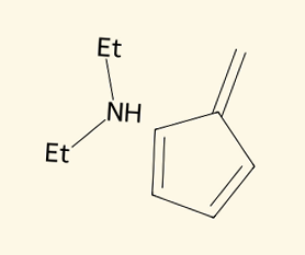 C=C1C=CC=C1.CCNCC